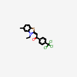 CCN1C(=CC(=O)c2ccc(C(Cl)(Cl)Cl)cc2)Sc2ccc(C)cc21